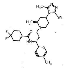 C=C1CC(n2c(C)nnc2C(C)C)CCN1CC[C@H](NC(=O)C1CCC(F)(F)CC1)C1C#CC(C)=CS1